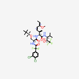 C=C(/C=C\C(=C/C)OC)[C@H](NC(=O)[C@H](CO[Si](C)(C)C(C)(C)C)NC(=O)C(F)(F)c1ccc(Cl)c(Cl)c1)C(=O)N[C@@H](C(C)C)[C@H](O)C(F)(F)F